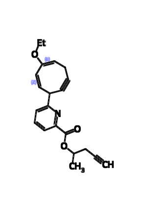 C#CCC(C)OC(=O)c1cccc(C2C#CC/C=C(OCC)\C=C/2)n1